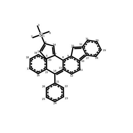 C[Si](C)(C)C1=CCC(c2c3c(ccc2=C(c2ccccc2)c2ccccc2)=c2ccccc2=[C]3)=C1